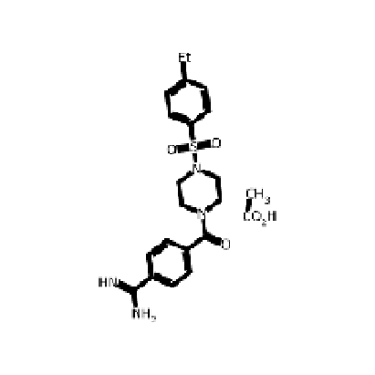 CC(=O)O.CCc1ccc(S(=O)(=O)N2CCN(C(=O)c3ccc(C(=N)N)cc3)CC2)cc1